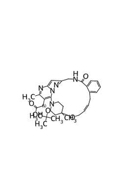 Cc1nc2cc3nn2c(c1[C@H](OC(C)(C)C)C(=O)O)N1CCC(C)(CC1)OCC=CCc1ccccc1C(=O)NC3